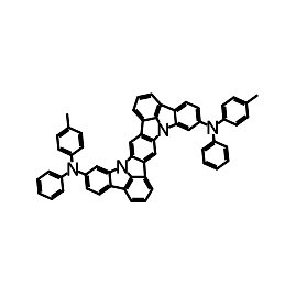 Cc1ccc(N(c2ccccc2)c2ccc3c4cccc5c6cc7c(cc6n(c3c2)c45)c2cccc3c4ccc(N(c5ccccc5)c5ccc(C)cc5)cc4n7c32)cc1